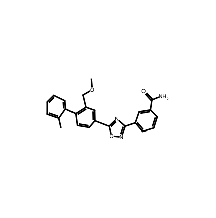 COCc1cc(-c2nc(-c3cccc(C(N)=O)c3)no2)ccc1-c1ccccc1C